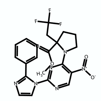 COC(=O)C1(CC(F)(F)F)CCCN1c1nc(-n2ccnc2-c2ccccc2)ncc1[N+](=O)[O-]